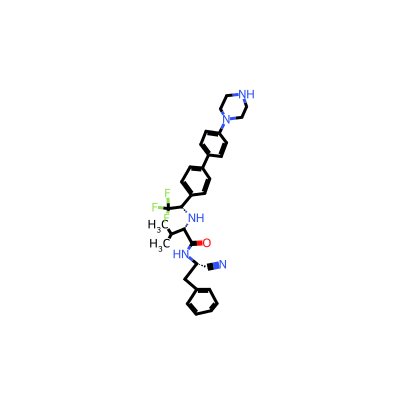 CC(C)[C@H](N[C@@H](c1ccc(-c2ccc(N3CCNCC3)cc2)cc1)C(F)(F)F)C(=O)N[C@H](C#N)Cc1ccccc1